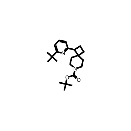 CC(C)(C)OC(=O)N1CCC2(CCC2c2cccc(C(C)(C)C)n2)CC1